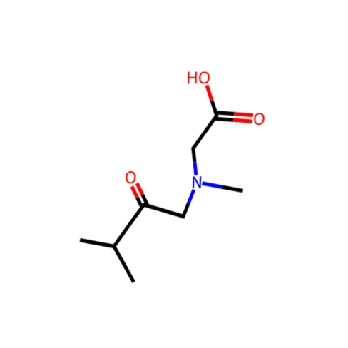 CC(C)C(=O)CN(C)CC(=O)O